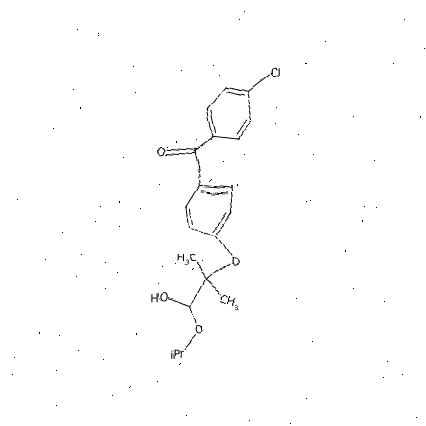 CC(C)OC(O)C(C)(C)Oc1ccc(C(=O)c2ccc(Cl)cc2)cc1